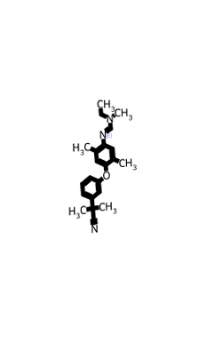 CCN(C)/C=N/c1cc(C)c(Oc2cccc(C(C)(C)C#N)c2)cc1C